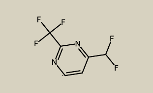 FC(F)c1c[c]nc(C(F)(F)F)n1